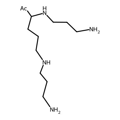 CC(=O)C(CCCNCCCN)NCCCN